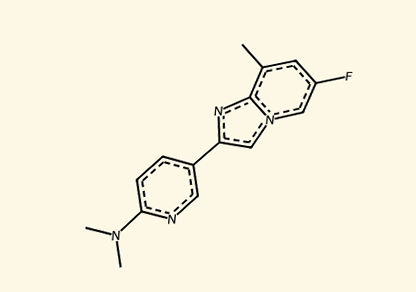 Cc1cc(F)cn2cc(-c3ccc(N(C)C)nc3)nc12